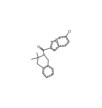 CC1(C)Cc2ccccc2CN1C(=O)c1cc2ccc(Cl)cn2n1